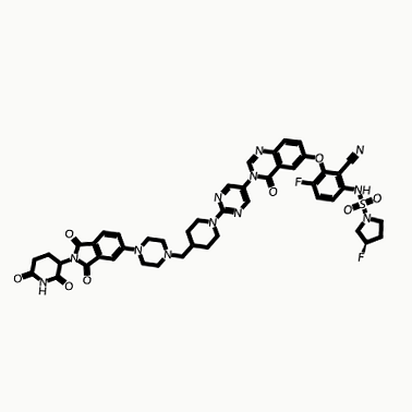 N#Cc1c(NS(=O)(=O)N2CC[C@@H](F)C2)ccc(F)c1Oc1ccc2ncn(-c3cnc(N4CCC(CN5CCN(c6ccc7c(c6)C(=O)N(C6CCC(=O)NC6=O)C7=O)CC5)CC4)nc3)c(=O)c2c1